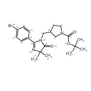 CC(C)(C)OC(=O)N1CCC(CN2C(=O)C(C)(C)N=C2c2ccc(Br)cc2)C1